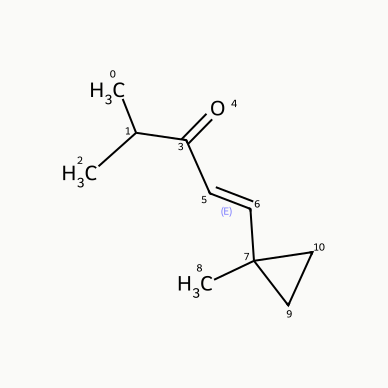 CC(C)C(=O)/C=C/C1(C)CC1